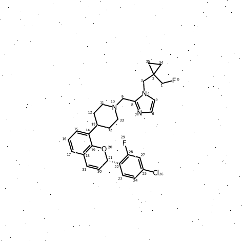 FCC1(Cn2ccnc2CN2CCC(c3cccc4c3O[C@H](c3ccc(Cl)cc3F)C=C4)CC2)CC1